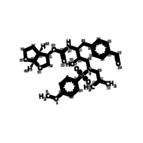 COc1ccc(S(=O)(=O)N(CC(C)C)C[C@@H](O)[C@H](Cc2ccc(C=O)cc2)NC(=O)O[C@H]2CO[C@H]3OCC[C@H]32)cc1